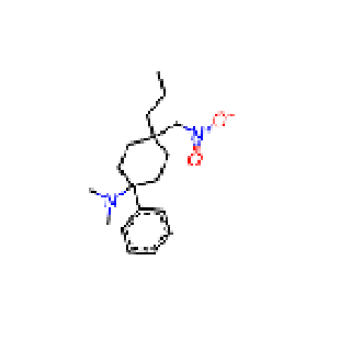 CCCC1(C[N+](=O)[O-])CCC(c2ccccc2)(N(C)C)CC1